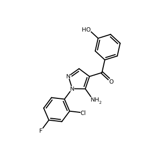 Nc1c(C(=O)c2cccc(O)c2)cnn1-c1ccc(F)cc1Cl